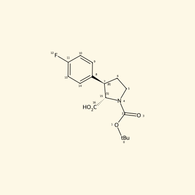 CC(C)(C)OC(=O)N1CC[C@H](c2ccc(F)cc2)[C@H]1C(=O)O